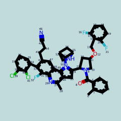 Cc1ccccc1C(=O)N1CC(OCc2c(F)cccc2F)CC1c1cc2c(C)nc3c(F)c(-c4cccc(Cl)c4Cl)c(CCC#N)cc3c2n1C1C2CNC1C2